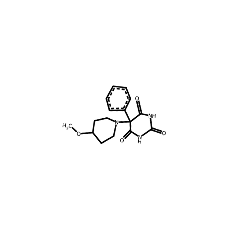 COC1CCN(C2(c3ccccc3)C(=O)NC(=O)NC2=O)CC1